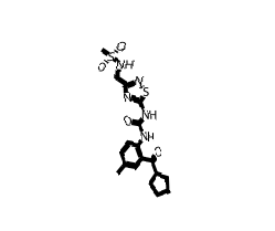 Cc1ccc(NC(=O)Nc2nc(CNS(C)(=O)=O)ns2)c(C(=O)C2CCCC2)c1